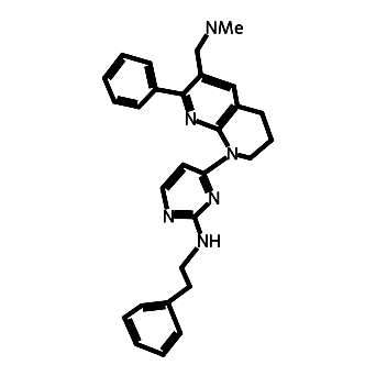 CNCc1cc2c(nc1-c1ccccc1)N(c1ccnc(NCCc3ccccc3)n1)CCC2